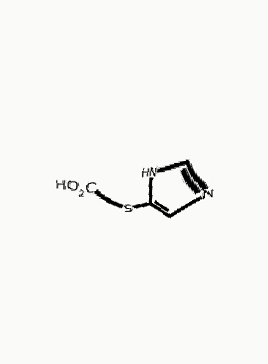 O=C(O)Sc1cnc[nH]1